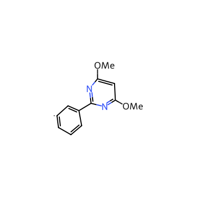 COc1cc(OC)nc(-c2c[c]ccc2)n1